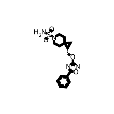 NS(=O)(=O)N1CCC2(CC1)C[C@@H]2COc1noc(-c2ccccc2)n1